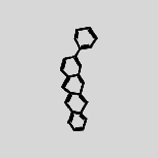 [c]1ccc(-c2ccc3cc4cc5ccccc5cc4cc3c2)cc1